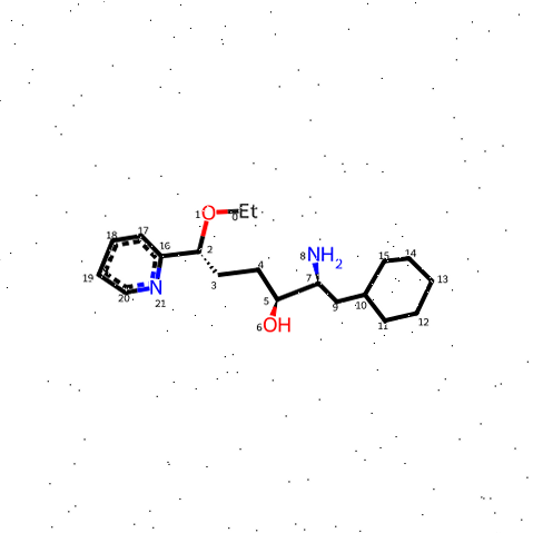 CCO[C@H](CC[C@H](O)[C@@H](N)CC1CCCCC1)c1ccccn1